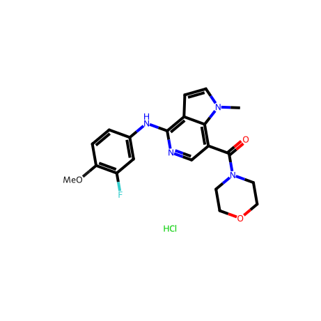 COc1ccc(Nc2ncc(C(=O)N3CCOCC3)c3c2ccn3C)cc1F.Cl